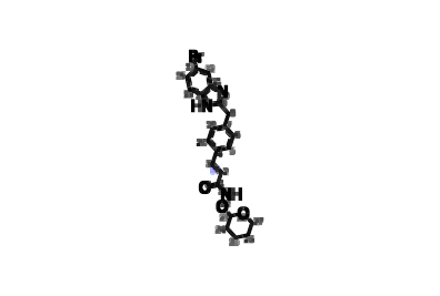 O=C(/C=C/c1ccc(Cc2nc3cc(Br)ccc3[nH]2)cc1)NOC1CCCCO1